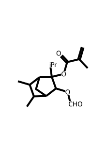 C=C(C)C(=O)OC1(C(C)C)C2CC(C(C)C2C)C1OC=O